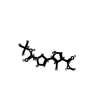 COC(=O)c1csc(C2=CCN(C(=O)OC(C)(C)C)C2)c1C